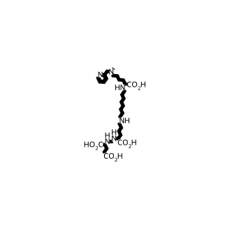 CN(CCCCC(NCCCCCCCCNCCCCC(NCNC(CCC(=O)O)C(=O)O)C(=O)O)C(=O)O)Cc1ccccn1